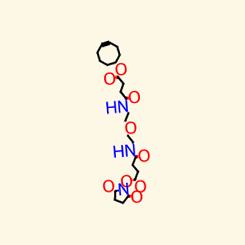 O=C(CCC(=O)OC1CCC#CCCC1)NCCOCCNC(=O)CCC(=O)ON1C(=O)CCC1=O